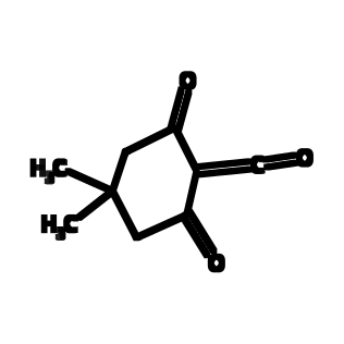 CC1(C)CC(=O)C(=C=O)C(=O)C1